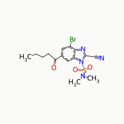 CCCCC(=O)c1cc(Br)c2nc(C#N)n(S(=O)(=O)N(C)C)c2c1